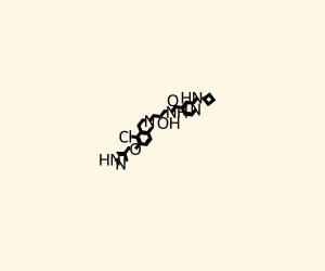 O=C(NCC(O)CN1CCc2c(ccc(OCc3cn[nH]c3)c2Cl)C1)c1ccnc(NC2CCC2)c1